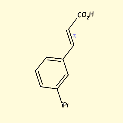 CC(C)c1cccc(/C=C/C(=O)O)c1